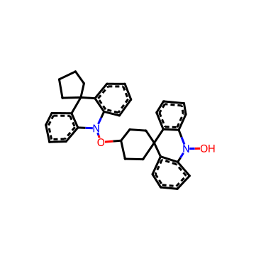 ON1c2ccccc2C2(CCC(ON3c4ccccc4C4(CCCC4)c4ccccc43)CC2)c2ccccc21